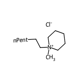 CCCCCCC[N+]1(C)CCCCC1.[Cl-]